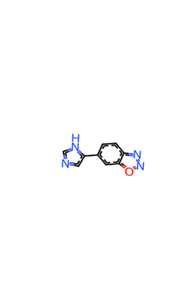 c1ncc(-c2ccc3nnoc3c2)[nH]1